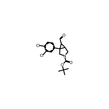 CC(C)(C)OC(=O)N1CC2C(C=O)C2(c2ccc(Cl)c(Cl)c2)C1